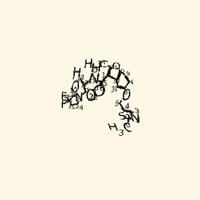 Cc1ncc(COc2ccc3oc(C)c(C(=O)NC(CO)C(=O)N4CCC(F)(F)C4)c3c2)s1